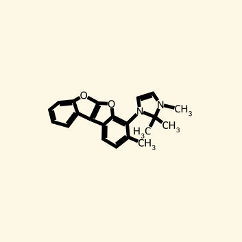 Cc1ccc2c(oc3oc4ccccc4c32)c1N1C=CN(C)C1(C)C